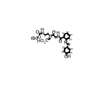 CC(C)(C)OC(=O)NCCN(CC(=O)O)C(=O)CNC(=O)c1ccccc1N=Nc1ccc(O)cc1